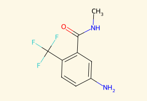 CNC(=O)c1cc(N)ccc1C(F)(F)F